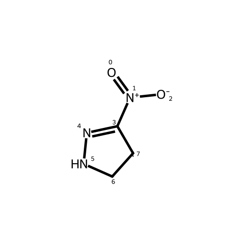 O=[N+]([O-])C1=NNC[CH]1